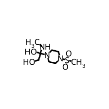 CNC(O)(CO)N1CCN(S(C)(=O)=O)CC1